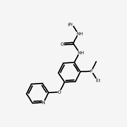 CCP(C)c1cc(Oc2ccccn2)ccc1NC(=O)NC(C)C